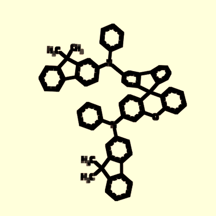 CC1(C)c2ccccc2-c2ccc(N(c3ccccc3)c3ccc4c(c3)Oc3ccccc3C43c4ccccc4-c4cc(N(c5ccccc5)c5ccc6c(c5)C(C)(C)c5ccccc5-6)ccc43)cc21